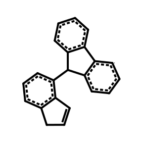 [c]1cccc2c1-c1ccccc1C2c1cccc2c1C=CC2